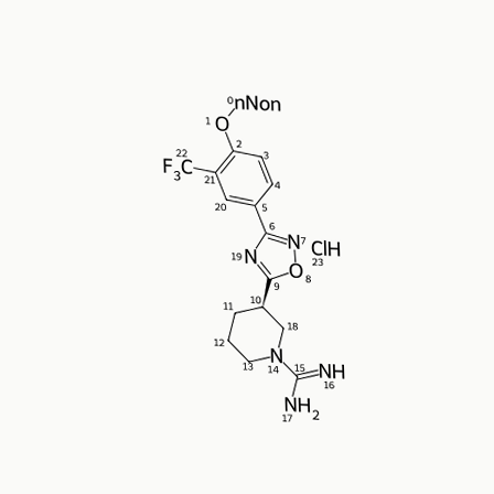 CCCCCCCCCOc1ccc(-c2noc([C@@H]3CCCN(C(=N)N)C3)n2)cc1C(F)(F)F.Cl